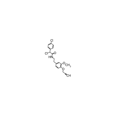 C#CCOc1ccc(CCNC(=O)C(Cl)c2ccc(Cl)cc2)cc1OC